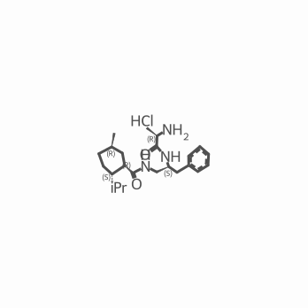 CC(C)[C@@H]1CC[C@@H](C)C[C@H]1C(=O)NC[C@H](Cc1ccccc1)NC(=O)[C@@H](C)N.Cl